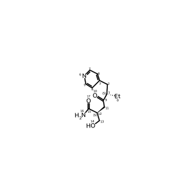 CC[C@@H](Cc1ccncc1)C(=O)C[C@@H](CO)C(N)=O